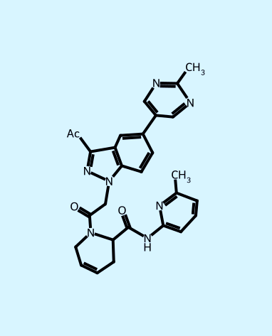 CC(=O)c1nn(CC(=O)N2CC=CCC2C(=O)Nc2cccc(C)n2)c2ccc(-c3cnc(C)nc3)cc12